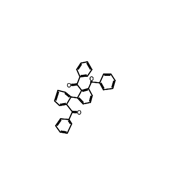 O=C(c1ccccc1)c1ccccc1-c1cccc(C(=O)c2ccccc2)c1C(=O)c1ccccc1